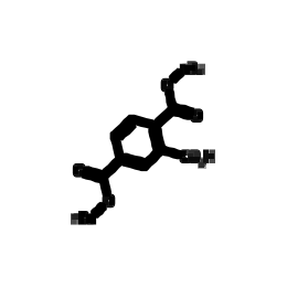 CCCCOC(=O)c1ccc(C(=O)OCCCC)c(C(=O)O)c1